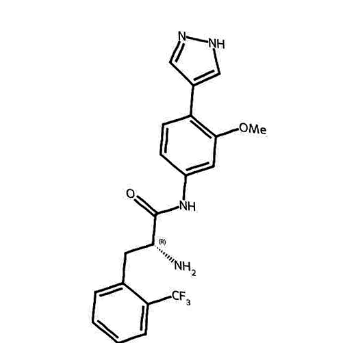 COc1cc(NC(=O)[C@H](N)Cc2ccccc2C(F)(F)F)ccc1-c1cn[nH]c1